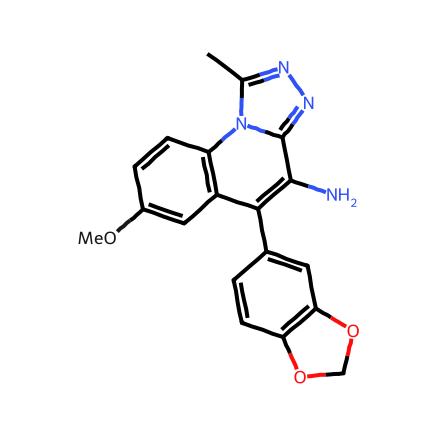 COc1ccc2c(c1)c(-c1ccc3c(c1)OCO3)c(N)c1nnc(C)n12